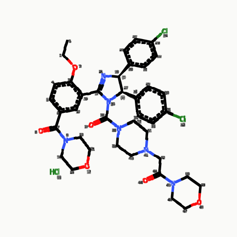 CCOc1ccc(C(=O)N2CCOCC2)cc1C1=N[C@@H](c2ccc(Cl)cc2)[C@@H](c2ccc(Cl)cc2)N1C(=O)N1CCN(CC(=O)N2CCOCC2)CC1.Cl